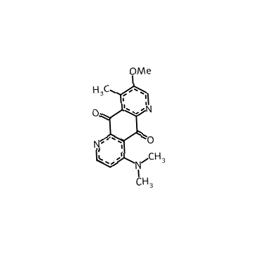 COc1cnc2c(c1C)C(=O)c1nccc(N(C)C)c1C2=O